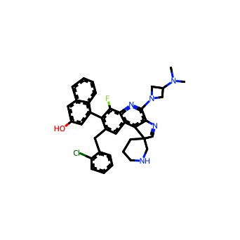 CN(C)C1CN(c2nc3c(F)c(-c4cc(O)cc5ccccc45)c(Cc4ccccc4Cl)cc3c3c2N=CC32CCCNC2)C1